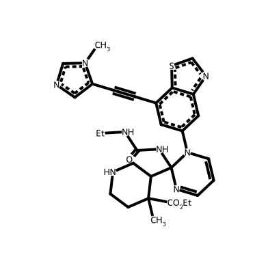 CCNC(=O)NC1(C2CNCCC2(C)C(=O)OCC)N=CC=CN1c1cc(C#Cc2cncn2C)c2scnc2c1